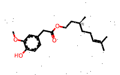 COc1cc(CC(=O)OCC[C@@H](C)CCC=C(C)C)ccc1O